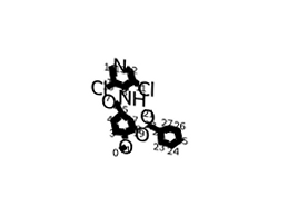 COc1ccc(C(=O)Nc2c(Cl)cncc2Cl)cc1OC(=O)c1ccccc1